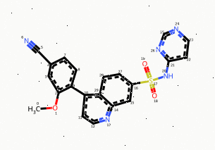 COc1cc(C#N)ccc1-c1ccnc2cc(S(=O)(=O)Nc3ccncn3)ccc12